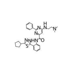 CN(C)CCNc1cc(C(=O)Nc2ccccc2-c2nnc(C3CCCC3)s2)nc(-c2ccccc2)n1